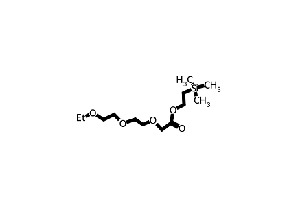 CCOCCOCCOCC(=O)OCC[Si](C)(C)C